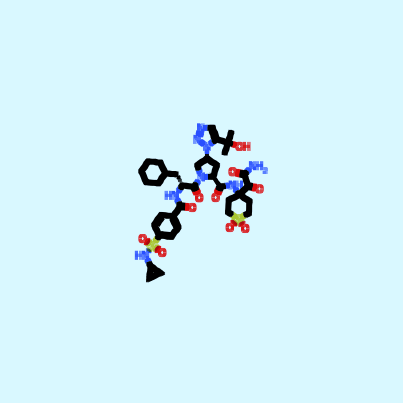 CC(C)(O)c1cnnn1[C@H]1C[C@@H](C(=O)NC2(C(=O)C(N)=O)CCS(=O)(=O)CC2)N(C(=O)[C@@H](CC2CCCCC2)NC(=O)c2ccc(S(=O)(=O)NC3CC3)cc2)C1